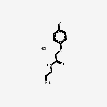 Cl.NCCNC(=O)COc1ccc(Br)cc1